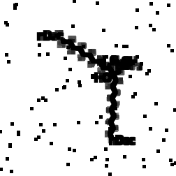 Br.CCCCCCCCCCCCCCCCCCCCC(O)(CCCCCCCCCCCCCCCCCCCC)CN(C)C